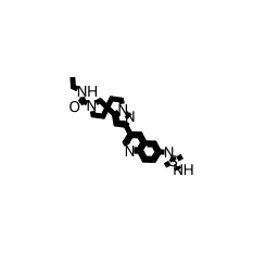 CCNC(=O)N1CCC2(CCn3nc(-c4cnc5ccc(N=S(C)(C)=N)cc5c4)cc32)C1